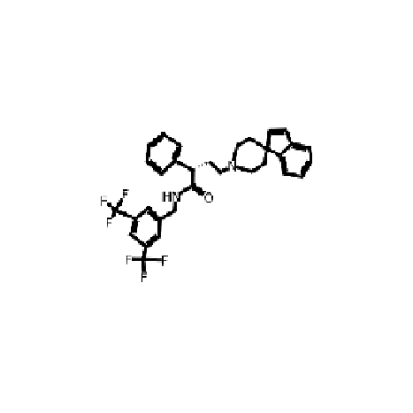 O=C(NCc1cc(C(F)(F)F)cc(C(F)(F)F)c1)[C@@H](CCN1CCC2(C=Cc3ccccc32)CC1)c1ccccc1